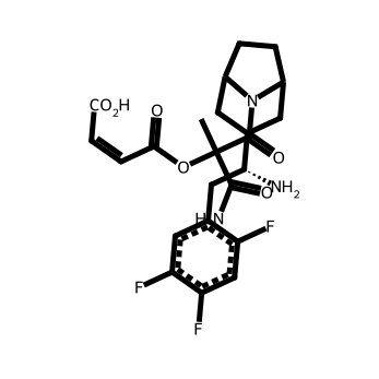 CC(OC(=O)/C=C\C(=O)O)(C(N)=O)C(=O)N1C2CCC1CC([C@H](N)Cc1cc(F)c(F)cc1F)C2